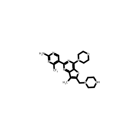 Cc1c(CN2CCNCC2)sc2c(N3CCOCC3)nc(-c3cnc(N)nc3C(F)(F)F)nc12